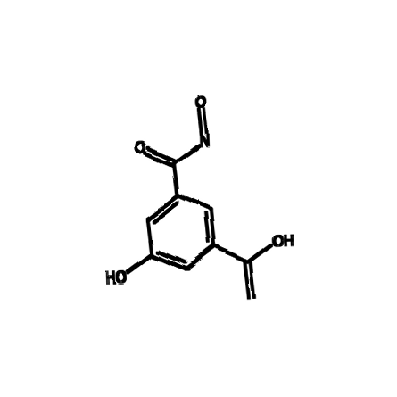 C=C(O)c1cc(O)cc(C(=O)N=O)c1